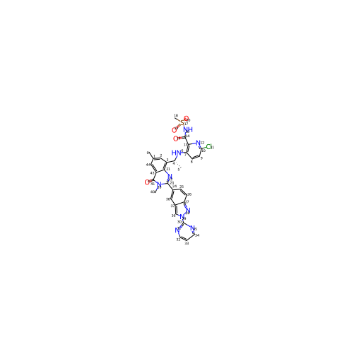 Cc1cc([C@@H](C)Nc2ccc(Cl)nc2C(=O)NS(C)(=O)=O)c2nc(-c3ccc4nn(-c5ncccn5)cc4c3)n(C)c(=O)c2c1